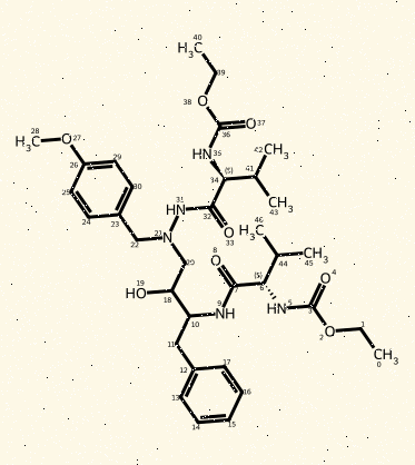 CCOC(=O)N[C@H](C(=O)NC(Cc1ccccc1)C(O)CN(Cc1ccc(OC)cc1)NC(=O)[C@@H](NC(=O)OCC)C(C)C)C(C)C